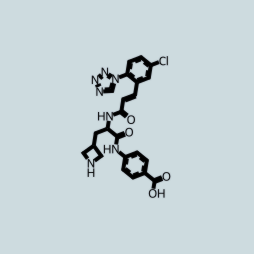 O=C(C=Cc1cc(Cl)ccc1-n1cnnn1)NC(CC1CNC1)C(=O)Nc1ccc(C(=O)O)cc1